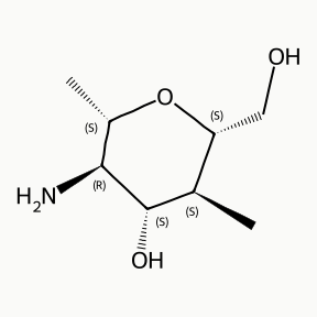 C[C@H]1[C@H](O)[C@@H](N)[C@H](C)O[C@@H]1CO